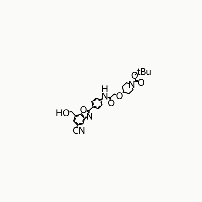 CC(C)(C)OC(=O)N1CCC(OCC(=O)Nc2ccc(-c3nc4cc(C#N)cc(CO)c4o3)cc2)CC1